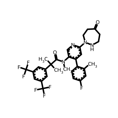 Cc1cc(F)ccc1-c1cc(N2CCC(=O)CCN2)ncc1N(C)C(=O)C(C)(C)c1cc(C(F)(F)F)cc(C(F)(F)F)c1